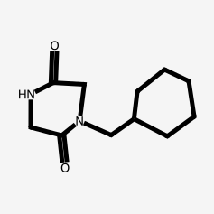 O=C1CN(CC2CCCCC2)C(=O)CN1